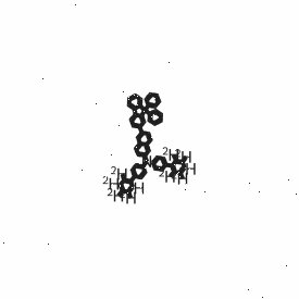 [2H]c1c([2H])c([2H])c(-c2ccc(N(c3ccc(-c4c([2H])c([2H])c([2H])c([2H])c4[2H])cc3)c3ccc4cc(-c5ccc6c(c5)C(c5ccccc5)(c5ccccc5)c5ccccc5-6)ccc4c3)cc2)c([2H])c1[2H]